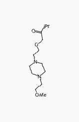 COCCN1CCN(CCOCC(=O)C(C)C)CC1